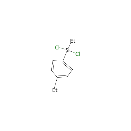 CCc1ccc([Si](Cl)(Cl)CC)cc1